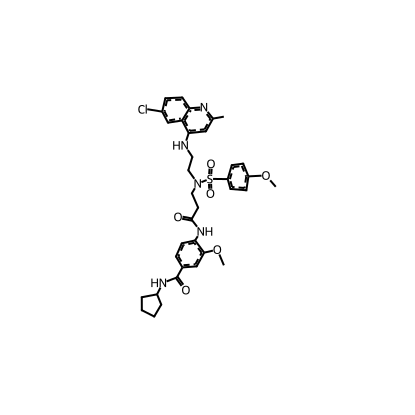 COc1ccc(S(=O)(=O)N(CCNc2cc(C)nc3ccc(Cl)cc23)CCC(=O)Nc2ccc(C(=O)NC3CCCC3)cc2OC)cc1